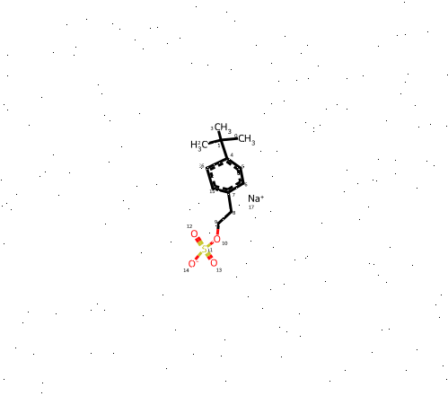 CC(C)(C)c1ccc(CCOS(=O)(=O)[O-])cc1.[Na+]